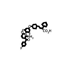 Nc1c(C(=O)c2ccc(F)cc2)ccc(=O)n1-c1c(F)cc(OC2CCC(C/C=C(/C(=O)O)c3ccccc3)CC2)cc1F